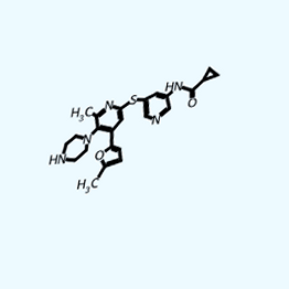 Cc1ccc(-c2cc(Sc3cncc(NC(=O)C4CC4)c3)nc(C)c2N2CCNCC2)o1